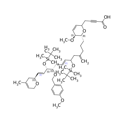 C=C(CCC[C@H]1OC(CC#CC(=O)O)C=C[C@@H]1OC)CC(/C=C/C[C@H](OCc1ccc(OC)cc1)[C@H](/C=C/[C@@H]1CC(C)=CCO1)O[Si](C)(C)C(C)(C)C)O[Si](C)(C)C(C)(C)C